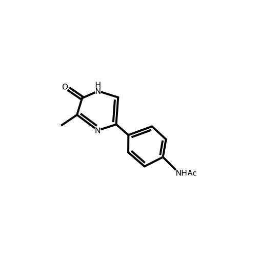 CC(=O)Nc1ccc(-c2c[nH]c(=O)c(C)n2)cc1